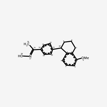 COc1cccc2c1CCCC2c1ccc(C(C)=NO)cc1